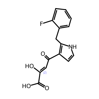 O=C(O)/C(O)=C/C(=O)c1cc[nH]c1Cc1ccccc1F